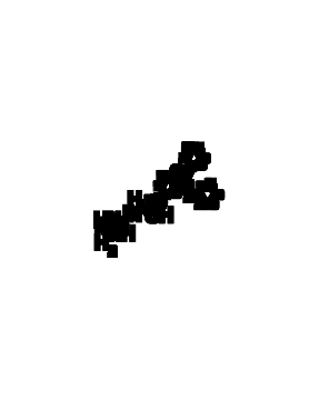 N=C(N)NCCNC[C@@H](O)COc1ccc(OCc2ccccc2)c(OCc2ccccc2)c1